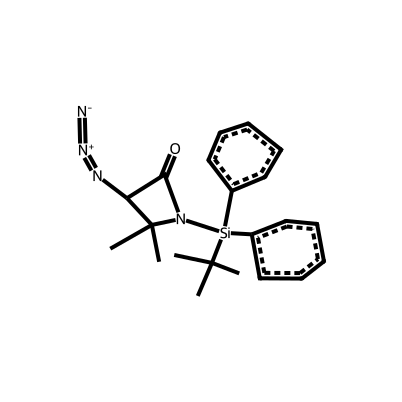 CC1(C)C(N=[N+]=[N-])C(=O)N1[Si](c1ccccc1)(c1ccccc1)C(C)(C)C